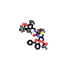 CO[C@@]1(/N=C/c2cc(C)c(O)c(C(C)(C)C)c2)C(=O)N2C(C(=O)OC(c3ccccc3)c3ccccc3)=C(COC(C)=O)CS[C@@H]21